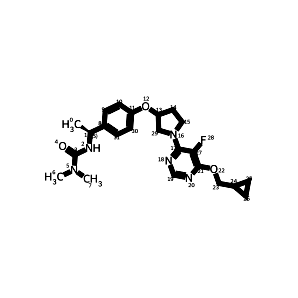 C[C@H](NC(=O)N(C)C)c1ccc(OC2CCN(c3ncnc(OCC4CC4)c3F)C2)cc1